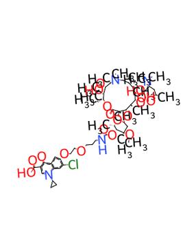 CC[C@H]1OC(=O)[C@H](C)[C@@H](O[C@H]2C[C@@](C)(OC)[C@@H](OC(=O)NCCCOCCOc3cc4c(=O)c(C(=O)O)cn(C5CC5)c4cc3Cl)[C@H](C)O2)[C@H](C)[C@@H](O[C@@H]2O[C@H](C)C[C@H](N(C)C)[C@H]2O)[C@](C)(O)C[C@@H](C)CN(C)[C@H](C)[C@@H](OC)[C@]1(C)O